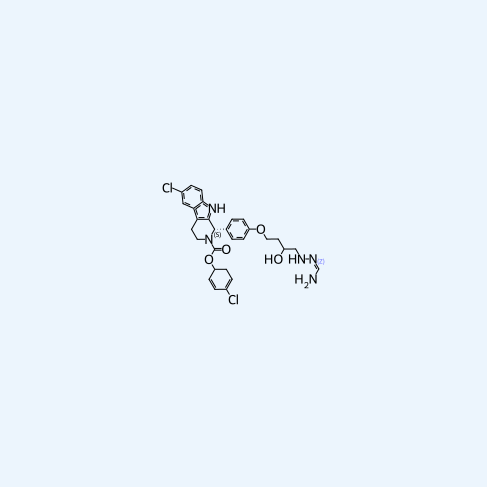 N/C=N\NCC(O)CCOc1ccc([C@H]2c3[nH]c4ccc(Cl)cc4c3CCN2C(=O)OC2C=CC(Cl)=CC2)cc1